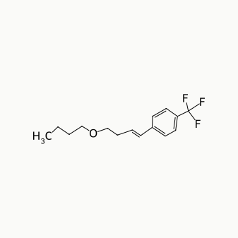 CCCCOCCC=Cc1ccc(C(F)(F)F)cc1